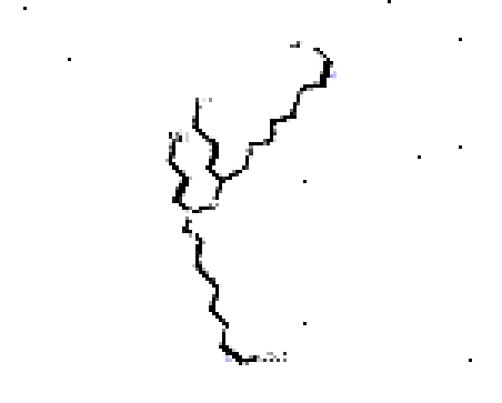 CCCCCCCC/C=C\CCCCCCC(C=CCO)OC(C=CCO)CCCCCC/C=C\CCCCCCCC